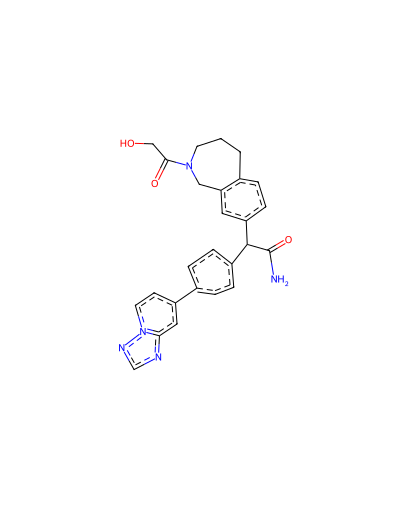 NC(=O)C(c1ccc(-c2ccn3ncnc3c2)cc1)c1ccc2c(c1)CN(C(=O)CO)CCC2